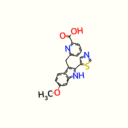 COc1ccc2c(Cc3cccc(C(=O)O)n3)c(-c3cncs3)[nH]c2c1